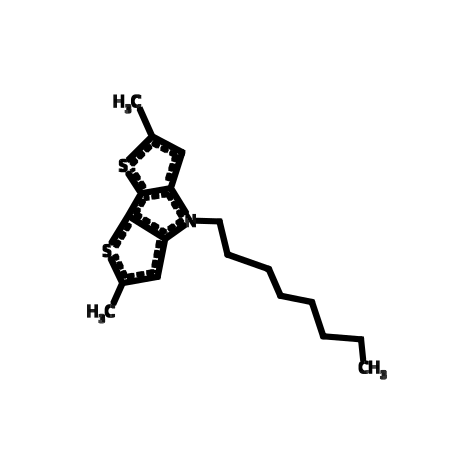 CCCCCCCCn1c2cc(C)sc2c2sc(C)cc21